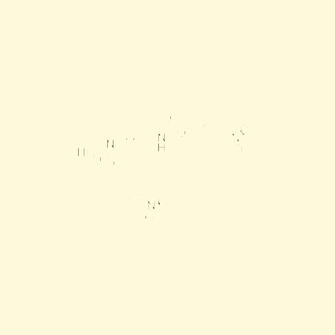 O=C(NCCOC[N+]1(C(=O)OCc2ccc([N+](=O)[O-])cc2)CCCC1O)OCc1ccc([N+](=O)[O-])cc1